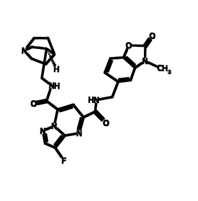 Cn1c(=O)oc2ccc(CNC(=O)c3cc(C(=O)NC[C@H]4CN5CCC4CC5)n4ncc(F)c4n3)cc21